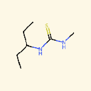 CCC(CC)NC(=S)NC